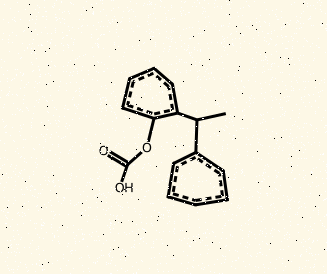 CC(c1ccccc1)c1ccccc1OC(=O)O